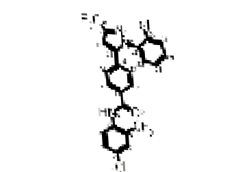 O=C(Nc1ccc(Cl)cc1C(F)(F)F)c1ccc(-c2cc(C(F)(F)F)nn2-c2ccccc2Cl)cc1